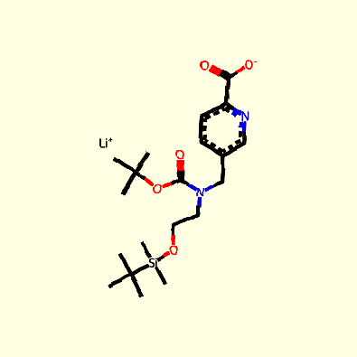 CC(C)(C)OC(=O)N(CCO[Si](C)(C)C(C)(C)C)Cc1ccc(C(=O)[O-])nc1.[Li+]